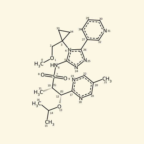 COCC1(n2c(NS(=O)(=O)[C@@H](C)[C@@H](OC(C)C)c3ncc(C)cn3)nnc2-c2cccnc2)CC1